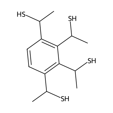 CC(S)c1ccc(C(C)S)c(C(C)S)c1C(C)S